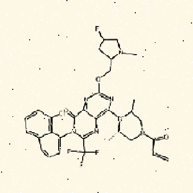 C=CC(=O)N1C[C@H](C)N(c2nc(OCC3C[C@@H](F)CN3C)nc3c(=O)n(-c4cccc5cccc(Cl)c45)c(C(F)(F)F)nc23)[C@@H](C)C1